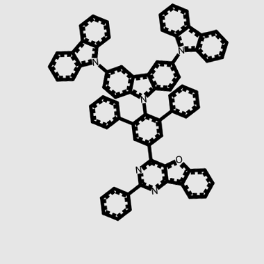 c1ccc(-c2nc(-c3cc(-c4ccccc4)c(-n4c5ccc(-n6c7ccccc7c7ccccc76)cc5c5cc(-n6c7ccccc7c7ccccc76)ccc54)c(-c4ccccc4)c3)c3oc4ccccc4c3n2)cc1